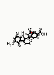 Cc1cc(Cl)c2[nH]c3c(c2c1Br)CCOC3(CC(=O)O)c1ccc(C(=O)O)cc1